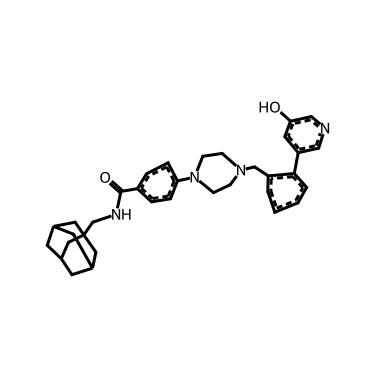 O=C(NCC12CC3CC(CC(C3)C1)C2)c1ccc(N2CCN(Cc3ccccc3-c3cncc(O)c3)CC2)cc1